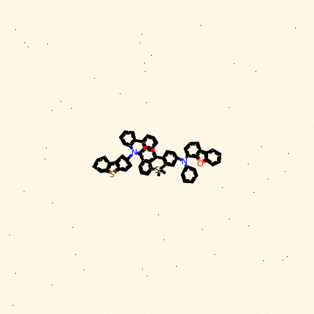 C[Si]1(C)c2cc(N(c3ccccc3)c3cccc4c3oc3ccccc34)ccc2-c2ccc(N(c3ccc4sc5ccccc5c4c3)c3ccccc3-c3ccccc3)c3cccc1c23